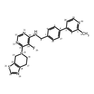 Cc1cc(-c2ccc(CNc3ncnc(N4CCc5ncsc5C4)c3F)cc2)ccn1